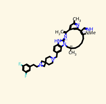 C=C1/N=C2\Nc3ccc(CN4CCC5(CC4)CN(CCc4cc(F)cc(F)c4)C5)cc3N2C[C@H](C)CCCC/C(NC)=C(/C=N)c2cc1cc(C)n2